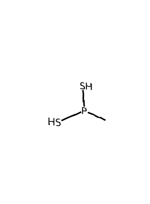 CP(S)S